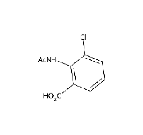 CC(=O)Nc1c(Cl)cccc1C(=O)O